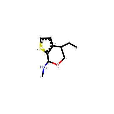 CCC1COC(NC)c2sccc21